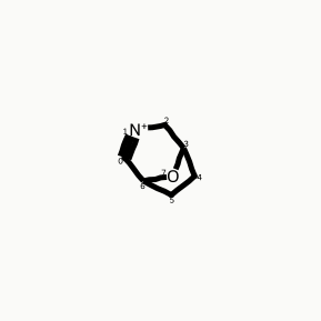 C1#[N+]CC2CCC1O2